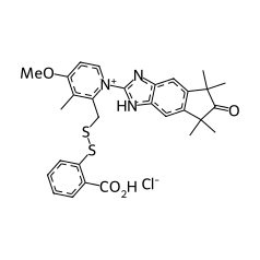 COc1cc[n+](-c2nc3cc4c(cc3[nH]2)C(C)(C)C(=O)C4(C)C)c(CSSc2ccccc2C(=O)O)c1C.[Cl-]